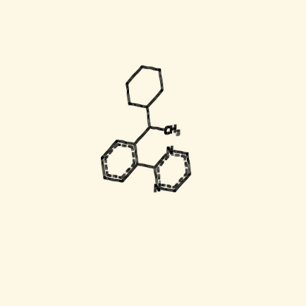 CC(c1ccccc1-c1ncccn1)C1CCCCC1